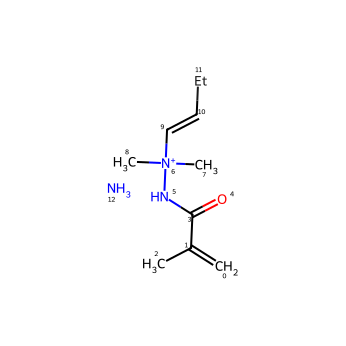 C=C(C)C(=O)N[N+](C)(C)C=CCC.N